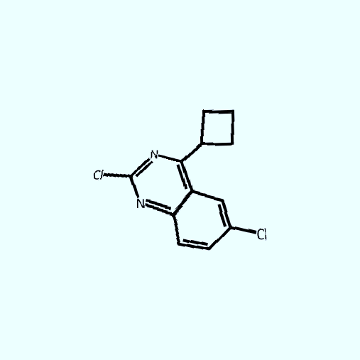 Clc1ccc2nc(Cl)nc(C3CCC3)c2c1